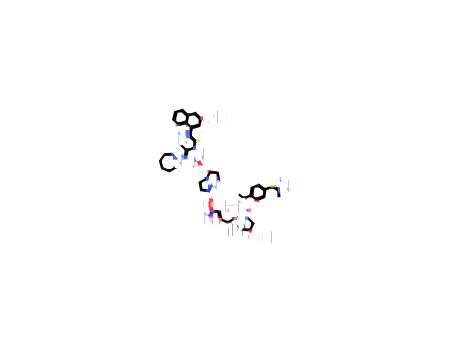 CCc1cccc2cc(O)cc(-c3ncc4c(N5CCCCCC5)nc(OC[C@]56CCCN5[C@H](COc5cc(C(C(=O)N7C[C@H](O)C[C@H]7C(=O)NC(C)c7ccc(-c8scnc8C)cc7)C(C)C)on5)CC6)nc4c3F)c12